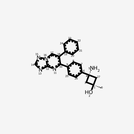 C[C@]1(O)C[C@@](N)(c2ccc(-c3nc4ncnn4cc3-c3ccccc3)cc2)C1